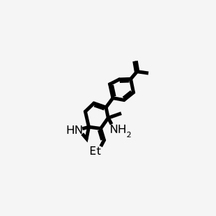 C=C(C)c1ccc(C2=CCC3(CN3)/C(=C\CC)C2(C)N)cc1